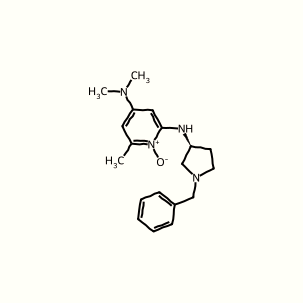 Cc1cc(N(C)C)cc(N[C@H]2CCN(Cc3ccccc3)C2)[n+]1[O-]